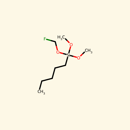 CCCCC[Si](OC)(OC)OCF